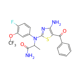 CC(C(N)=O)N(c1ccc(F)c(OC(F)(F)F)c1)c1nc(N)c(C(=O)c2ccccc2)s1